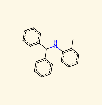 Cc1ccccc1NC(c1ccccc1)c1ccccc1